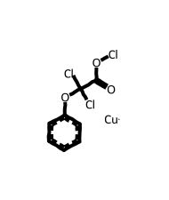 O=C(OCl)C(Cl)(Cl)Oc1ccccc1.[Cu]